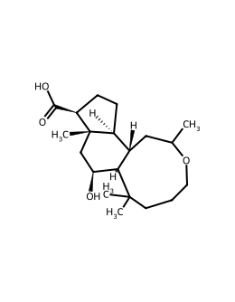 CC1C[C@@H]2[C@H]([C@@H](O)C[C@]3(C)[C@@H](C(=O)O)CC[C@@H]23)C(C)(C)CCCO1